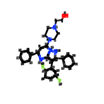 OCCN1CCN(c2cc(-c3ccccc3)nc3c(-c4cc(F)ccc4F)c(-c4ccccc4)nn23)CC1